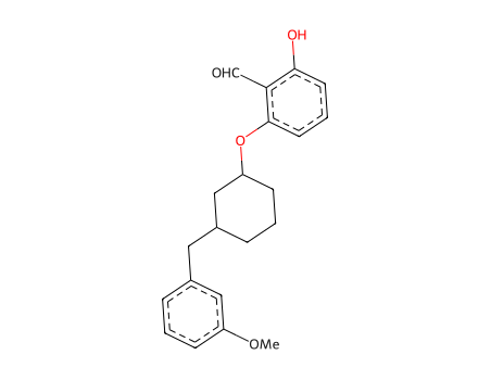 COc1cccc(CC2CCCC(Oc3cccc(O)c3C=O)C2)c1